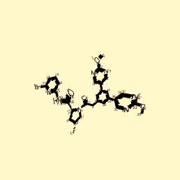 COc1ncc(-c2cc(CC(=O)N3C[C@H](F)C[C@H]3C(=O)Nc3cccc(Br)n3)cc(-c3cnc(OC)nc3)c2)cn1